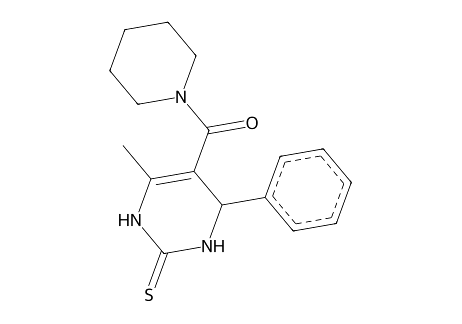 CC1=C(C(=O)N2CCCCC2)C(c2ccccc2)NC(=S)N1